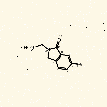 O=C(O)CN1Cc2ccc(Br)cc2C1=O